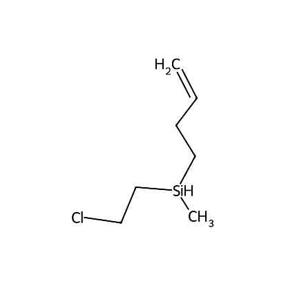 C=CCC[SiH](C)CCCl